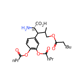 CCCC(=O)Oc1ccc(C(C(C)COC(=O)CC(C)CC)[C@H](N)C(=O)O)cc1OC(=O)CCC